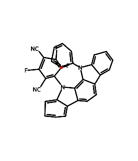 N#Cc1c(F)c(F)c(-n2c3ccccc3c3ccc4c5ccccc5n(-c5ccccc5)c4c32)c(C#N)c1F